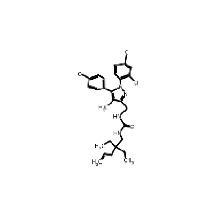 C=CCC(CC)(CC)CNC(=O)NCc1nn(-c2ccc(Cl)cc2Cl)c(-c2ccc(Cl)cc2)c1C